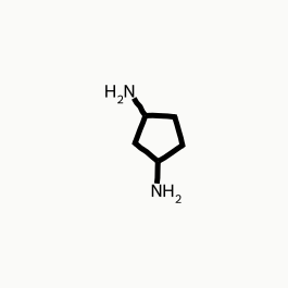 NC1CCC(N)C1